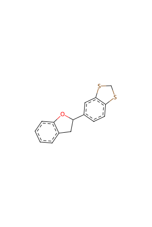 c1ccc2c(c1)CC(c1ccc3c(c1)SCS3)O2